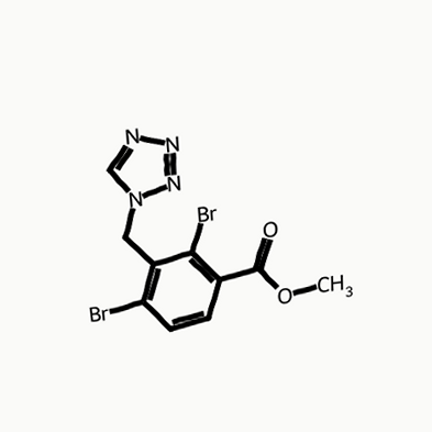 COC(=O)c1ccc(Br)c(Cn2cnnn2)c1Br